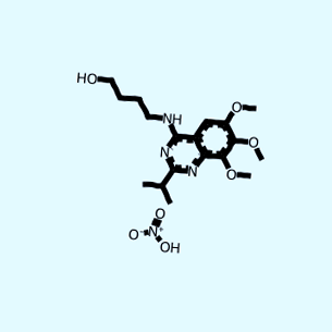 COc1cc2c(NCCCCO)nc(C(C)C)nc2c(OC)c1OC.O=[N+]([O-])O